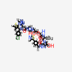 Cc1ncsc1-c1ccc([C@H](C)NC(=O)[C@@H]2C[C@@H](O)CN2C(=O)C(NC(=O)COC[C@H](O)CN2CCN(C(=O)C[C@@H]3N=C(c4ccc(Cl)cc4)c4c(sc(C)c4C)-n4c(C)nnc43)CC2)C(C)(C)C)cc1